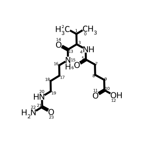 CC(C)C(NC(=O)CCCC(=O)O)C(=O)NCCCCNC(N)=O